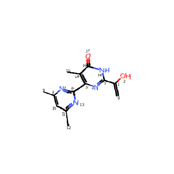 C=C(O)c1nc(-c2nc(C)cc(C)n2)c(C)c(=O)[nH]1